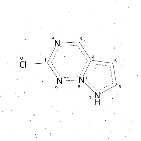 Clc1ncc2cc[nH][n+]2n1